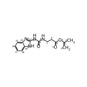 C=C(C)OC(=O)CCNC(=O)Nc1nc2ccccc2[nH]1